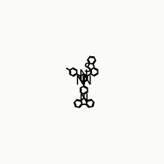 Cc1ccc(-c2nc(-c3ccc(-n4c5ccccc5c5ccccc54)cc3)nc(-c3cccc4c3sc3ccccc34)n2)cc1